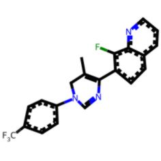 CC1=C(c2ccc3cccnc3c2F)N=CN(c2ccc(C(F)(F)F)cc2)C1